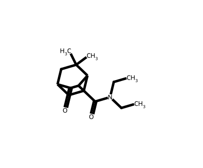 CCN(CC)C(=O)C1C(=O)C2CCC1C(C)(C)C2